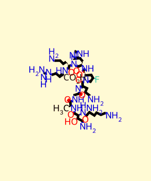 C[C@H](NC(=O)[C@@H](NC(=O)[C@@H](N)CCCCN)[C@@H](O)CN)C(=O)NCC(=O)/N=C(\CCCN)C(=O)N1C[C@H](F)C[C@H]1C(=O)N[C@@H](Cc1cnc[nH]1)C(=O)N[C@@H](CCCCN)C(=O)N/C(=C\CCNC(=N)N)C(=O)O